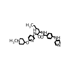 CCCCC(NC(=O)c1ccc(Nc2ccncc2)cc1)C(=O)Nc1ccc(OC2CCN(C)CC2)nc1